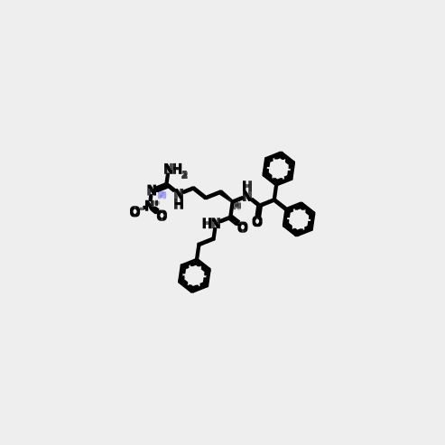 N/C(=N/[N+](=O)[O-])NCCC[C@@H](NC(=O)C(c1ccccc1)c1ccccc1)C(=O)NCCc1ccccc1